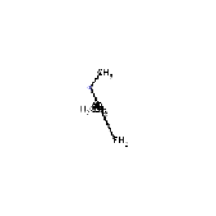 C=C.CCCCCCCCC=CCCCCCCCC(=O)OC(=O)CCCCCCC/C=C\CCCCCCCC.O